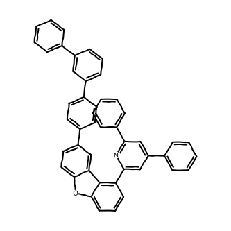 c1ccc(-c2cccc(-c3ccc(-c4ccc5oc6cccc(-c7cc(-c8ccccc8)cc(-c8ccccc8)n7)c6c5c4)cc3)c2)cc1